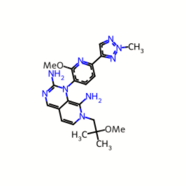 COc1nc(-c2cnn(C)n2)ccc1N1C(N)=NC=C2C=CN(CC(C)(C)OC)C(N)=C21